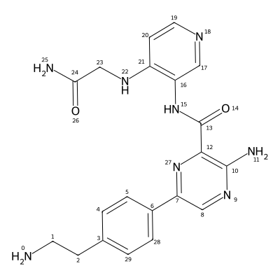 NCCc1ccc(-c2cnc(N)c(C(=O)Nc3cnccc3NCC(N)=O)n2)cc1